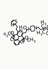 COC(=O)C1=C(CCc2nccs2)NC(CC(=O)N2CCN(CCC(C)(C)N3CCCC3=O)CC2)=C(C(=O)OC)C1c1c(Cl)cccc1Cl